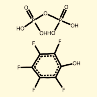 O=P(O)(O)OP(=O)(O)O.Oc1c(F)c(F)c(F)c(F)c1F